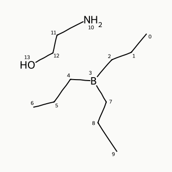 CCCB(CCC)CCC.NCCO